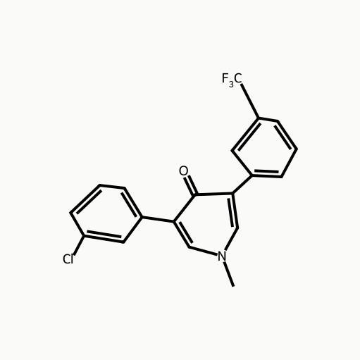 Cn1cc(-c2cccc(Cl)c2)c(=O)c(-c2cccc(C(F)(F)F)c2)c1